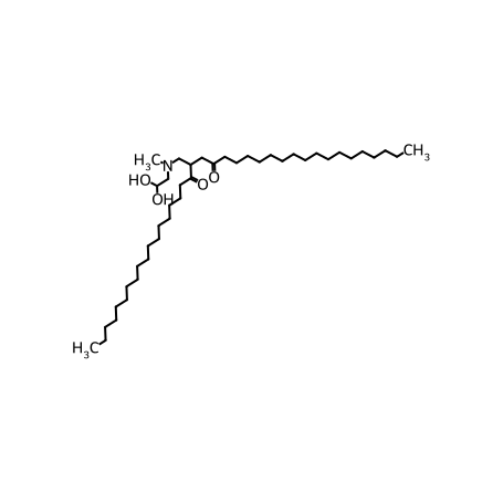 CCCCCCCCCCCCCCCCCC(=O)CC(CN(C)CC(O)O)C(=O)CCCCCCCCCCCCCCCCC